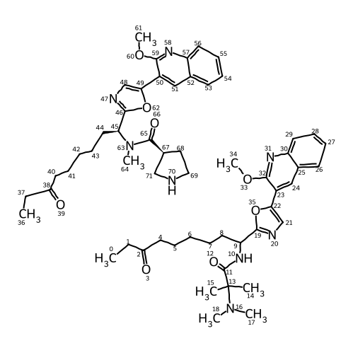 CCC(=O)CCCCCC(NC(=O)C(C)(C)N(C)C)c1ncc(-c2cc3ccccc3nc2OC)o1.CCC(=O)CCCCC[C@@H](c1ncc(-c2cc3ccccc3nc2OC)o1)N(C)C(=O)[C@H]1CCNC1